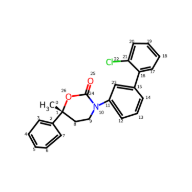 C[C@]1(c2ccccc2)CCN(c2cccc(-c3ccccc3Cl)c2)C(=O)O1